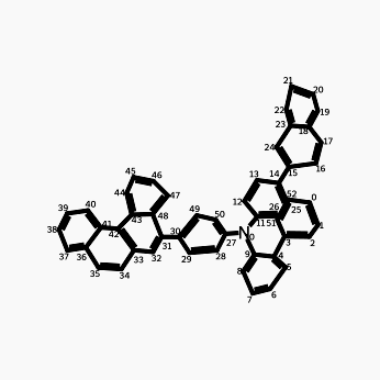 c1ccc(-c2ccccc2N(c2ccc(-c3ccc4ccccc4c3)cc2)c2ccc(-c3cc4ccc5ccccc5c4c4ccccc34)cc2)cc1